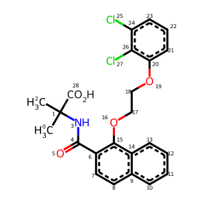 CC(C)(NC(=O)c1ccc2ccccc2c1OCCOc1cccc(Cl)c1Cl)C(=O)O